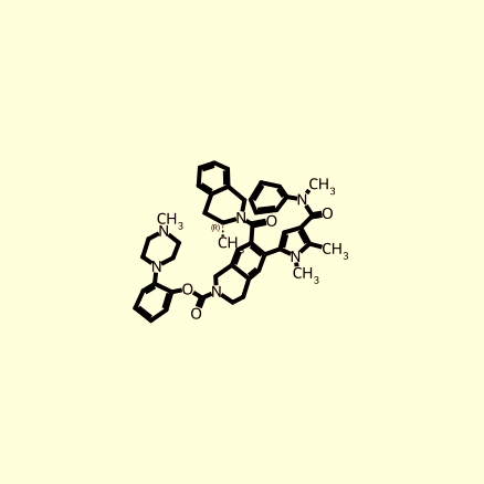 Cc1c(C(=O)N(C)c2ccccc2)cc(-c2cc3c(cc2C(=O)N2Cc4ccccc4C[C@H]2C)CN(C(=O)Oc2ccccc2N2CCN(C)CC2)CC3)n1C